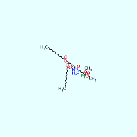 CCCCCCCCCCCC(=O)OC[C@@H](CSC[C@H](N)C(=O)NCCCC(F)(F)P(=O)(OCC)OCC)OC(=O)CCCCCCCCCCC